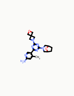 Cc1cc(N)ncc1-c1nc(N2CC3CCC(C2)O3)nc(N2CC3(COC3)C2)n1